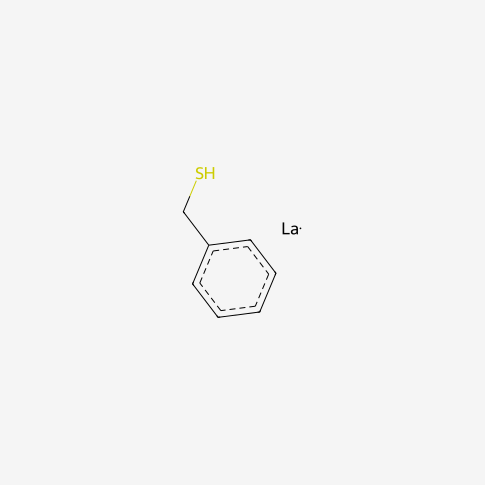 SCc1ccccc1.[La]